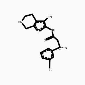 CCc1cccc([C@@H](C)CC(=O)Nc2sc3c(c2C#N)CCNC3)c1